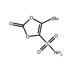 CC(C)(C)c1oc(=O)oc1S(N)(=O)=O